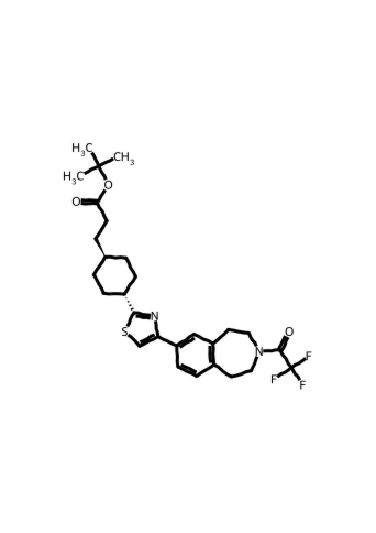 CC(C)(C)OC(=O)CC[C@H]1CC[C@H](c2nc(-c3ccc4c(c3)CCN(C(=O)C(F)(F)F)CC4)cs2)CC1